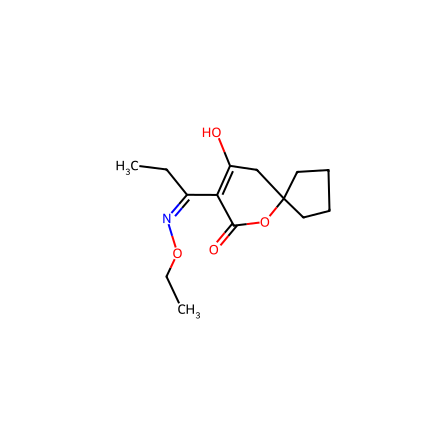 CCO/N=C(/CC)C1=C(O)CC2(CCCC2)OC1=O